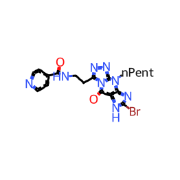 CCCCCn1c2nc(Br)[nH]c2c(=O)n2c(CCNC(=O)c3ccncc3)nnc12